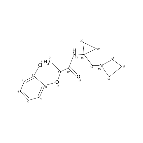 CC(Oc1ccccc1Cl)C(=O)NC1(CN2CCC2)CC1